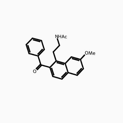 COc1ccc2ccc(C(=O)c3ccccc3)c(CCNC(C)=O)c2c1